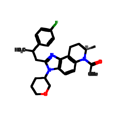 COC(=O)N1c2ccc3c(nc(CC(C(=O)O)c4ccc(F)cc4)n3C3CCCOC3)c2CC[C@@H]1C